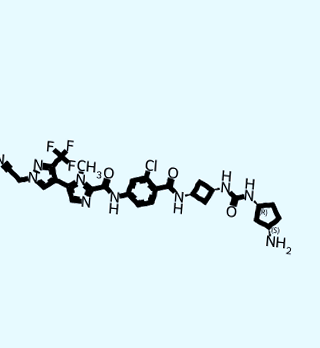 Cn1c(-c2cn(CC#N)nc2C(F)(F)F)cnc1C(=O)Nc1ccc(C(=O)N[C@H]2C[C@@H](NC(=O)N[C@@H]3CC[C@H](N)C3)C2)c(Cl)c1